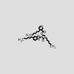 C=CCCCCN1CC(OC(=O)c2cnccc2CCCCCC)N(c2nc3cc(CCCCCC)ccc3s2)C1=O